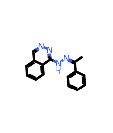 C/C(=N/Nc1nncc2ccccc12)c1ccccc1